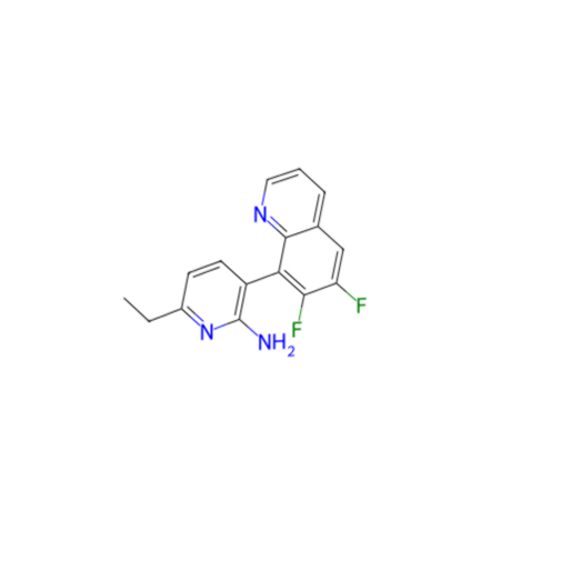 CCc1ccc(-c2c(F)c(F)cc3cccnc23)c(N)n1